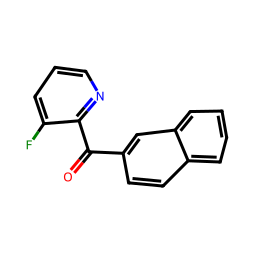 O=C(c1ccc2ccccc2c1)c1ncccc1F